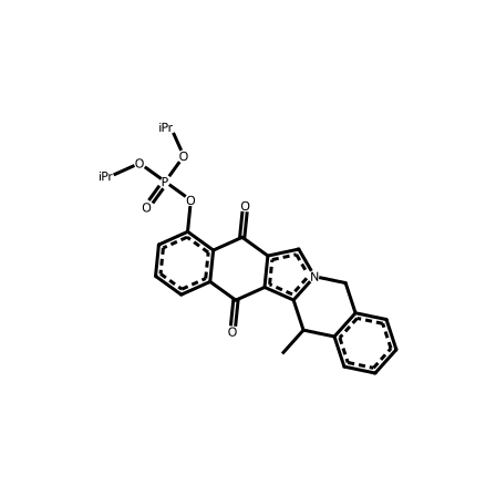 CC(C)OP(=O)(Oc1cccc2c1C(=O)c1cn3c(c1C2=O)C(C)c1ccccc1C3)OC(C)C